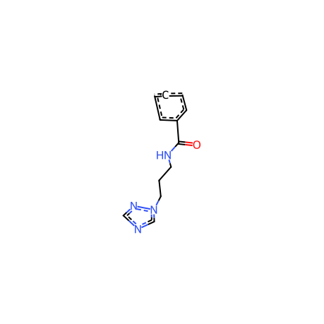 O=C(NCCCn1cncn1)c1cc[c]cc1